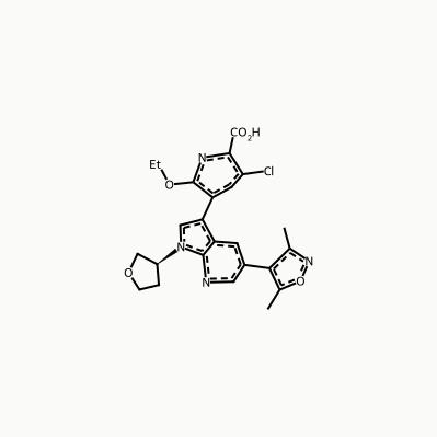 CCOc1nc(C(=O)O)c(Cl)cc1-c1cn([C@H]2CCOC2)c2ncc(-c3c(C)noc3C)cc12